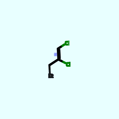 CCC/C(Cl)=C/Cl